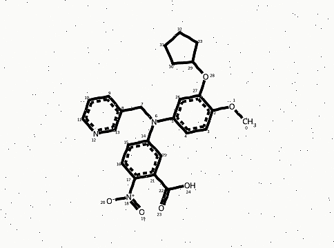 COc1ccc(N(Cc2cccnc2)c2ccc([N+](=O)[O-])c(C(=O)O)c2)cc1OC1CCCC1